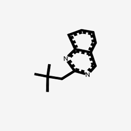 CC(C)(C)Cc1ncc2ccccc2n1